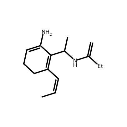 C=C(CC)NC(C)C1=C(/C=C\C)CCC=C1N